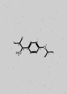 CC(C)Oc1ccc(C(O)C(C)C)cc1